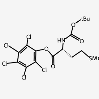 CSCC[C@@H](NC(=O)OC(C)(C)C)C(=O)Oc1c(Cl)c(Cl)c(Cl)c(Cl)c1Cl